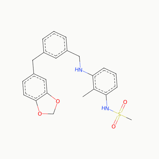 Cc1c(NCc2cccc(Cc3ccc4c(c3)OCO4)c2)cccc1NS(C)(=O)=O